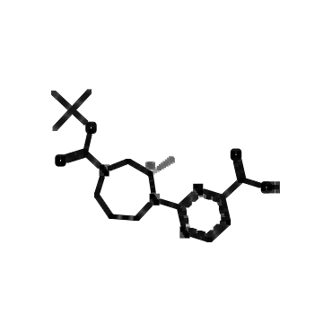 C[C@H]1CN(C(=O)OC(C)(C)C)CCCN1c1nccc(C(=O)O)n1